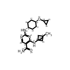 CC12CC(Nc3nc(N[C@H]4CC[C@H](OC5CC5)CC4)ncc3C(N)=O)(C1)C2